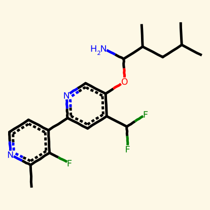 Cc1nccc(-c2cc(C(F)F)c(OC(N)C(C)CC(C)C)cn2)c1F